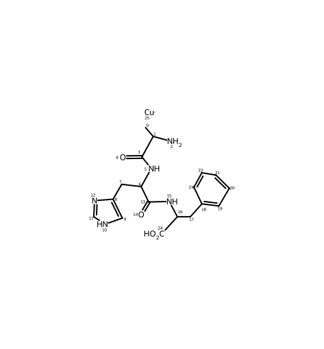 CC(N)C(=O)NC(Cc1c[nH]cn1)C(=O)NC(Cc1ccccc1)C(=O)O.[Cu]